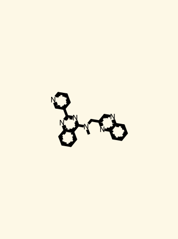 CN(Cc1cnc2ccccc2n1)c1nc(-c2cccnc2)nc2ccccc12